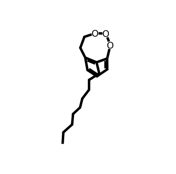 CCCCCCCCCc1c2cccc1OOOCC2